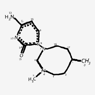 CC1CCN(C)CN(n2ccc(N)nc2=O)CC1